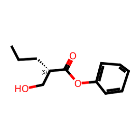 CCC[C@@H](CO)C(=O)Oc1ccccc1